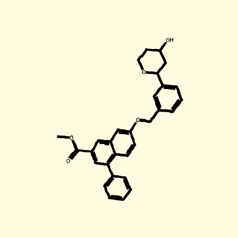 COC(=O)c1cc(-c2ccccc2)c2ccc(OCc3cccc(C4CC(O)CCO4)c3)cc2c1